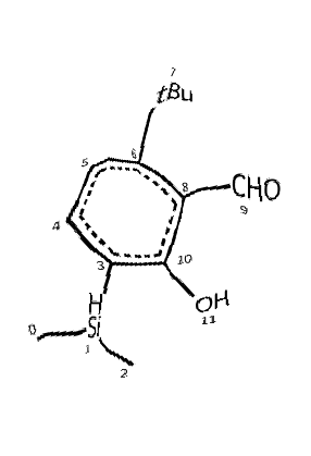 C[SiH](C)c1ccc(C(C)(C)C)c(C=O)c1O